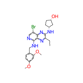 CCc1nc2c(NCc3ccc(OC)cc3OC)ncc(Br)c2nc1N[C@@H]1CC[C@H](O)C1